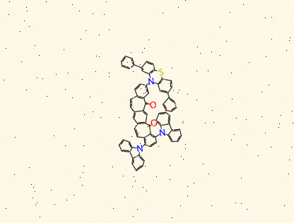 O=c1c2cc(N3c4cc(-c5ccccc5)ccc4Sc4ccc(-c5ccccc5)cc43)ccc2ccc2cc3ccc4c(-n5c6ccccc6c6ccccc65)ccc(-n5c6ccccc6c6ccccc65)c4c(=O)c3cc12